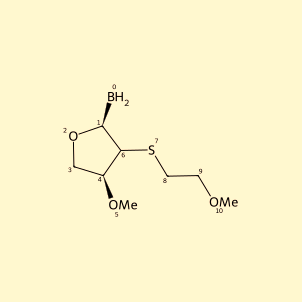 B[C@@H]1OC[C@H](OC)C1SCCOC